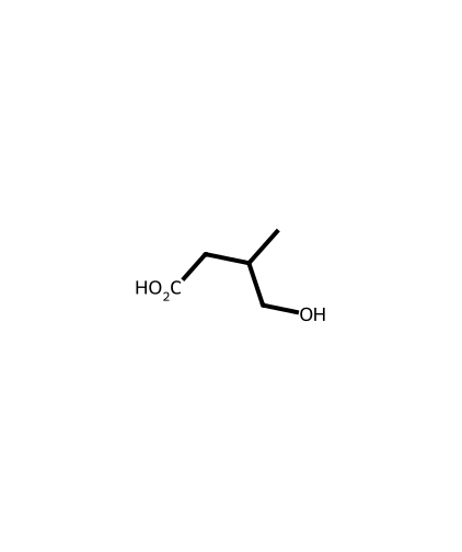 CC(CO)CC(=O)O